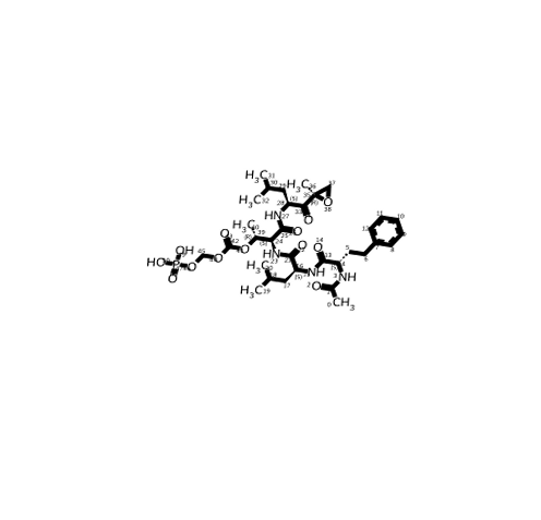 CC(=O)N[C@@H](CCc1ccccc1)C(=O)N[C@@H](CC(C)C)C(=O)N[C@H](C(=O)N[C@@H](CC(C)C)C(=O)[C@@]1(C)CO1)[C@@H](C)OC(=O)OCOP(=O)(O)O